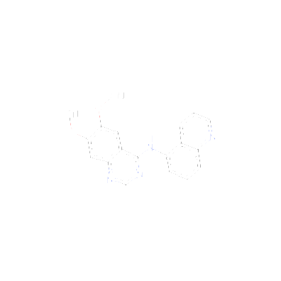 COc1cc2ncnc(Nc3cccc4ncccc34)c2cc1OC